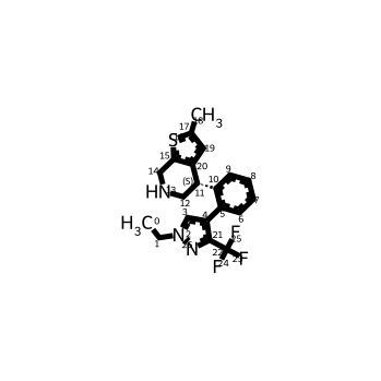 CCn1cc(-c2ccccc2[C@@H]2CNCc3sc(C)cc32)c(C(F)(F)F)n1